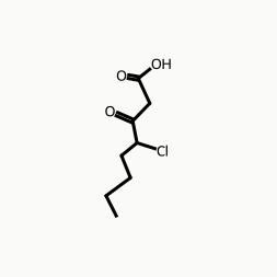 CCCCC(Cl)C(=O)CC(=O)O